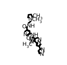 Cc1ncc(C(=O)NCCN2CCCC2(C)C)cc1Nc1nn(C)c2c1cnn1cc(-c3ccncn3)cc21